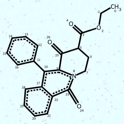 CCOC(=O)C1CCn2c(c(-c3ccccc3)c3ccccc3c2=O)C1=O